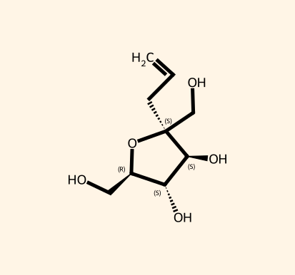 C=CC[C@@]1(CO)O[C@H](CO)[C@@H](O)[C@@H]1O